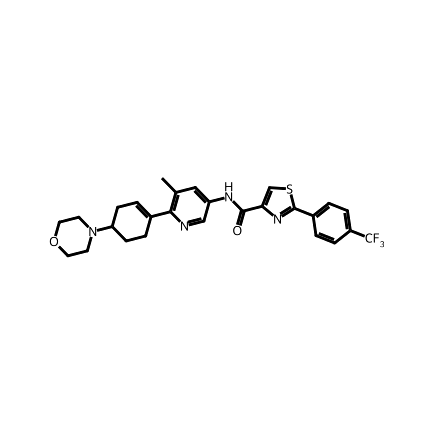 Cc1cc(NC(=O)c2csc(-c3ccc(C(F)(F)F)cc3)n2)cnc1C1=CCC(N2CCOCC2)CC1